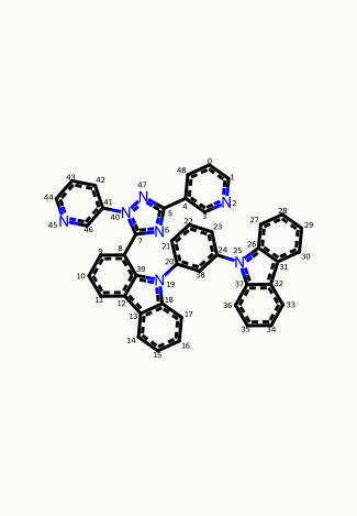 c1cncc(-c2nc(-c3cccc4c5ccccc5n(-c5cccc(-n6c7ccccc7c7ccccc76)c5)c34)n(-c3cccnc3)n2)c1